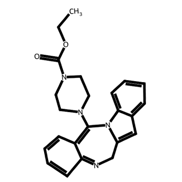 CCOC(=O)N1CCN(C2=c3ccccc3=NCc3cc4ccccc4n32)CC1